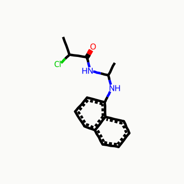 CC(NC(=O)C(C)Cl)Nc1cccc2ccccc12